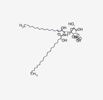 CCCCCCCCCCCCC/C=C/[C@@H](O)[C@H](CO[C@@H]1O[C@H](CO)[C@H](O)C(OS(=O)(=O)O)C1O)NC(=O)C(O)CCCCCCCCCCCCCCCCCC